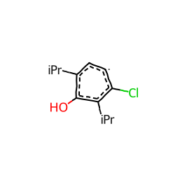 CC(C)c1c[c]c(Cl)c(C(C)C)c1O